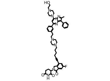 Cc1nn2c(N3CCN(CCO)CC3)cc(-c3cccc(CCN4CCN(CCCCC#Cc5cc(F)cc6c5CN(C5CCC(=O)NC5=O)C6=O)CC4)c3)nc2c1-c1ccccc1